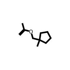 C=C(C)OCC1(C)CCCC1